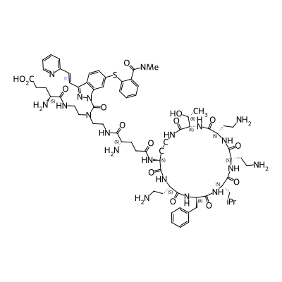 CNC(=O)c1ccccc1Sc1ccc2c(/C=C/c3ccccn3)nn(C(=O)N(CCNC(=O)[C@@H](N)CCC(=O)O)CCNC(=O)[C@@H](N)CCC(=O)N[C@H]3CCNC(=O)[C@H]([C@@H](C)O)NC(=O)[C@H](CCN)NC(=O)[C@H](CCN)NC(=O)[C@H](CC(C)C)NC(=O)[C@@H](Cc4ccccc4)NC(=O)[C@H](CCN)NC3=O)c2c1